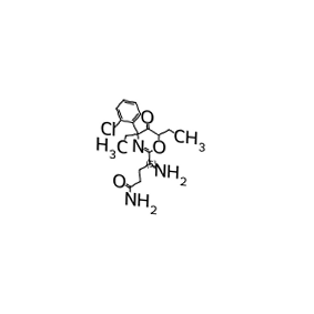 CCC1OC([C@@H](N)CCC(N)=O)=NC(CC)(c2ccccc2Cl)C1=O